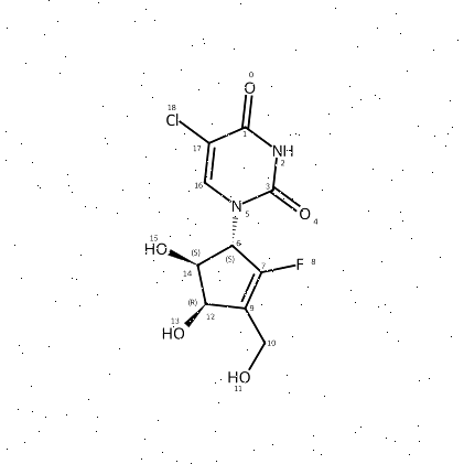 O=c1[nH]c(=O)n([C@@H]2C(F)=C(CO)[C@@H](O)[C@H]2O)cc1Cl